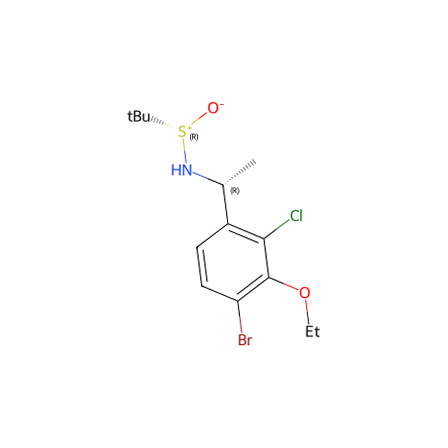 CCOc1c(Br)ccc([C@@H](C)N[S@@+]([O-])C(C)(C)C)c1Cl